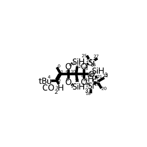 CC(=C(C(=O)O)C(C)(C)C)C(O[SiH3])(O[SiH3])C(C)(C)C(O[SiH3])(O[SiH](C)[Si](C)(C)C)O[Si](C)(C)C